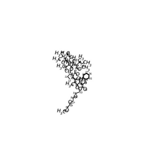 CC[C@H](C)[C@@H]([C@@H](CC(=O)N1CCC[C@H]1[C@H](OC)[C@@H](C)C(=O)N[C@@H](Cc1ccccc1)C(=O)OCCOCCOCCOC)OC)N(C)C(=O)C(NC(=O)[C@H](C(C)C)N(C)C)C(C)C